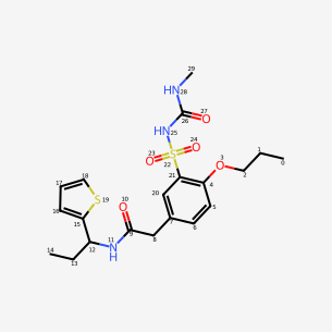 CCCOc1ccc(CC(=O)NC(CC)c2cccs2)cc1S(=O)(=O)NC(=O)NC